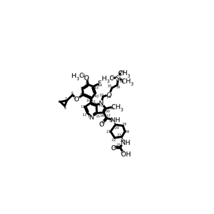 COc1cc(OCC2CC2)c(-c2ccnc3c(C(=O)N[C@H]4CC[C@@H](NC(=O)O)CC4)c(C)n(COCC[Si](C)(C)C)c23)cc1F